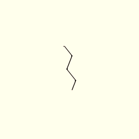 [S]CCCI